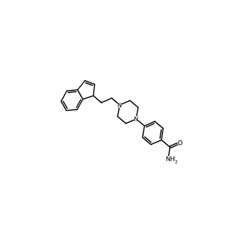 NC(=O)c1ccc(N2CCN(CCC3C=Cc4ccccc43)CC2)cc1